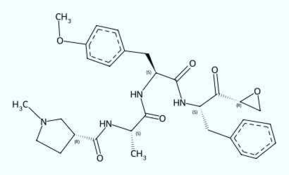 COc1ccc(C[C@H](NC(=O)[C@H](C)NC(=O)[C@@H]2CCN(C)C2)C(=O)N[C@@H](Cc2ccccc2)C(=O)[C@H]2CO2)cc1